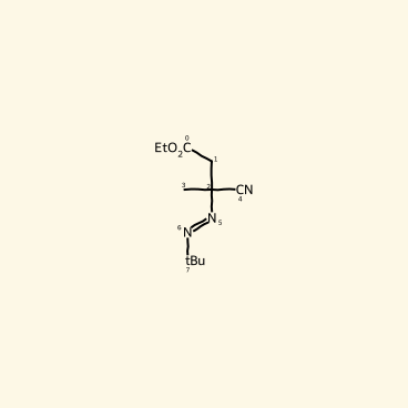 CCOC(=O)CC(C)(C#N)/N=N/C(C)(C)C